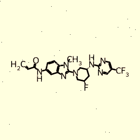 C=CC(=O)Nc1ccc2c(c1)nc(N1C[C@H](F)C[C@@H](Nc3ncc(C(F)(F)F)cn3)C1)n2C